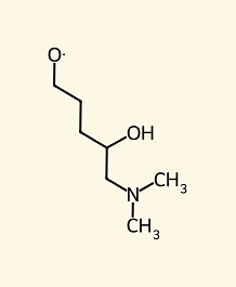 CN(C)CC(O)CCC[O]